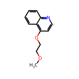 COCCOc1c[c]nc2ccccc12